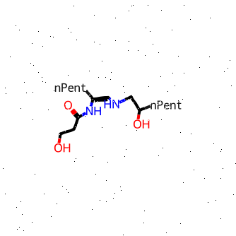 CCCCC/C(=C/NCC(O)CCCCC)NC(=O)CCO